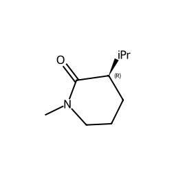 CC(C)[C@H]1CCCN(C)C1=O